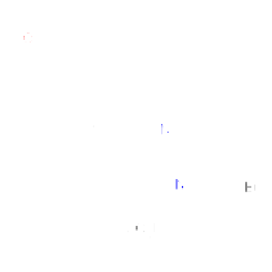 CCc1cnc(C(CC(=O)O)c2ccc(O)cc2)n1C